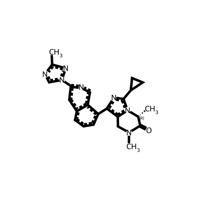 Cc1ncn(-c2cc3cccc(-c4nc(C5CC5)n5c4CN(C)C(=O)[C@H]5C)c3cn2)n1